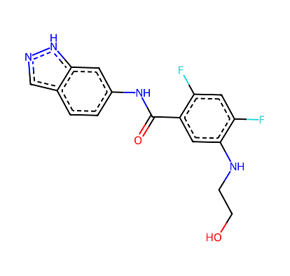 O=C(Nc1ccc2cn[nH]c2c1)c1cc(NCCO)c(F)cc1F